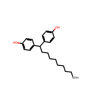 CCCCCCCCCCCCCCCCCCC(c1ccc(O)cc1)c1ccc(O)cc1